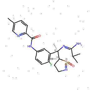 Cc1ccc(C(=O)Nc2ccc(F)c([C@@]3(C)N=C(N)C(C)(C)[S@@]4(=O)=NCC[C@@H]34)c2)nc1